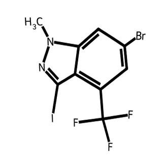 Cn1nc(I)c2c(C(F)(F)F)cc(Br)cc21